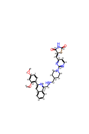 COc1ccc(-c2cc3ccccc3c(CNCC3CCN(c4nccc(/C=C5\SC(=O)NC5=O)n4)CC3)n2)c(OC)c1